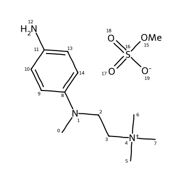 CN(CC[N+](C)(C)C)c1ccc(N)cc1.COS(=O)(=O)[O-]